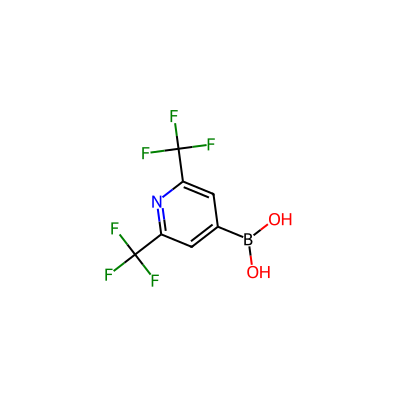 OB(O)c1cc(C(F)(F)F)nc(C(F)(F)F)c1